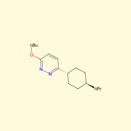 CCCCOc1ccc([C@H]2CC[C@H](CCC)CC2)nn1